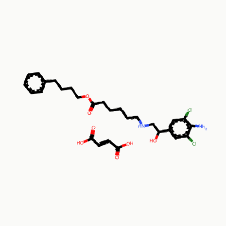 Nc1c(Cl)cc(C(O)CNCCCCCC(=O)OCCCCc2ccccc2)cc1Cl.O=C(O)C=CC(=O)O